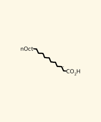 CCCCCCCCCCCCCCCC[CH]CC(=O)O